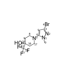 Cn1nc(Br)cc1N1CCC(O)(C(F)(F)F)CC1